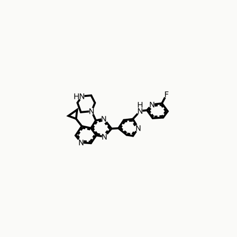 Fc1cccc(Nc2cc(-c3nc(N4CCNCC4)c4c(C5CC5)cncc4n3)ccn2)n1